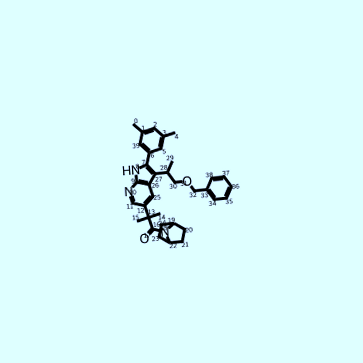 Cc1cc(C)cc(-c2[nH]c3ncc(C(C)(C)C(=O)N4C5CCC4CC5)cc3c2C(C)COCc2ccccc2)c1